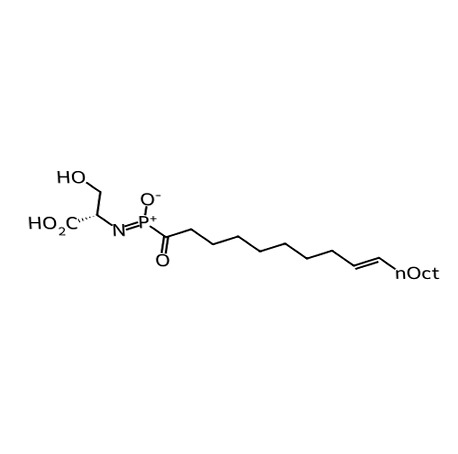 CCCCCCCCC=CCCCCCCCC(=O)/[P+]([O-])=N/[C@@H](CO)C(=O)O